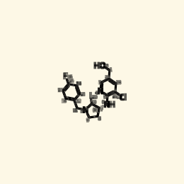 OCc1cnc(N[C@@H]2CCN(Cc3ccc(F)cc3)C2I)c(Cl)c1